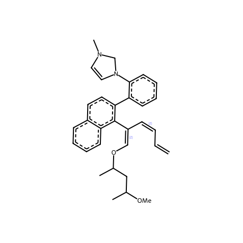 C=C/C=C\C(=C\OC(C)CC(C)OC)c1c(-c2ccccc2N2C=CN(C)C2)ccc2ccccc12